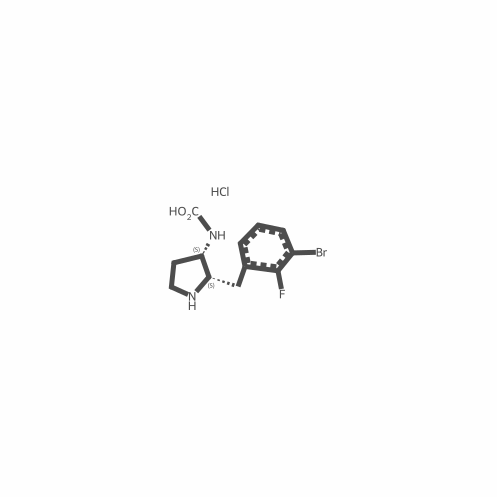 Cl.O=C(O)N[C@H]1CCN[C@H]1Cc1cccc(Br)c1F